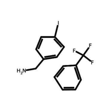 FC(F)(F)c1ccccc1.NCc1ccc(I)cc1